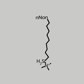 CCCCCCCCCCCCCCCCCC[SiH2][N+](C)(C)C